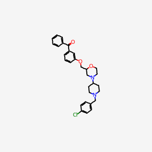 O=C(c1ccccc1)c1cccc(OCC2CN(C3CCN(Cc4ccc(Cl)cc4)CC3)CCO2)c1